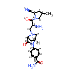 CC1CC(C#N)N(C(=O)C(N)CN2C[C@@H]3CC2C(=O)N3c2ccc(C(N)=O)cc2)C1